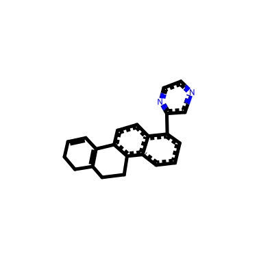 C1=CC2=C(CC1)CCc1c2ccc2c(-c3cnccn3)cccc12